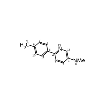 CNc1ccc(-c2ccc(C)cc2)nc1